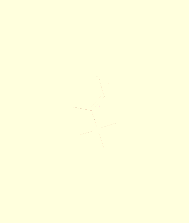 C/C(=C\N)[Si](C)(C)C